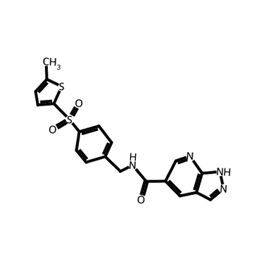 Cc1ccc(S(=O)(=O)c2ccc(CNC(=O)c3cnc4[nH]ncc4c3)cc2)s1